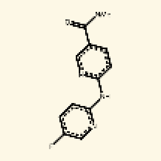 CNC(=O)c1ccc(Nc2ccc(F)cn2)nc1